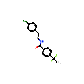 O=C(NCCc1ccc(Cl)cc1)c1ccc(C(F)(F)C(F)(F)F)cc1